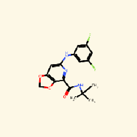 CC(C)(C)NC(=O)c1nc(Nc2cc(F)cc(F)c2)cc2c1OCO2